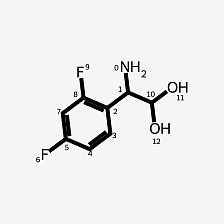 NC(c1ccc(F)cc1F)C(O)O